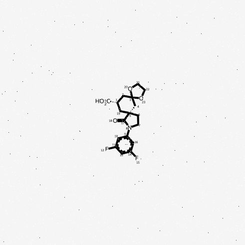 O=C(O)[C@@H]1CC2(C[C@@]3(CCN(c4cc(F)cc(F)c4)C3=O)C1)OCCO2